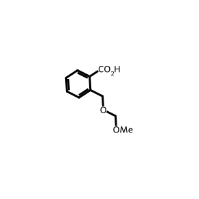 COCOCc1ccccc1C(=O)O